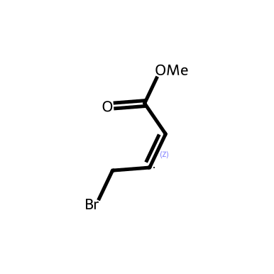 COC(=O)/C=[C]\CBr